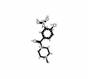 CN1CCN(C(=O)c2ccc(Cl)c([SH](=O)=O)c2)CC1